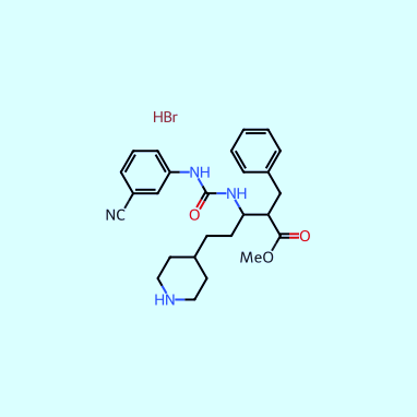 Br.COC(=O)C(Cc1ccccc1)C(CCC1CCNCC1)NC(=O)Nc1cccc(C#N)c1